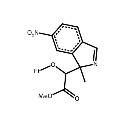 CCOC(C(=O)OC)C1(C)N=Cc2ccc([N+](=O)[O-])cc21